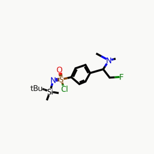 CN(C)C(CF)c1ccc(S(=O)(Cl)=N[Si](C)(C)C(C)(C)C)cc1